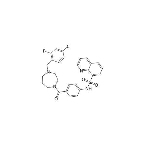 O=C(c1ccc(NS(=O)(=O)c2cccc3cccnc23)cc1)N1CCCN(Cc2ccc(Cl)cc2F)CC1